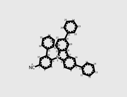 N#Cc1ccc(-n2c3ccc(-c4ccccc4)cc3c3cc(-c4ccccc4)ccc32)c(-c2ccccc2)c1